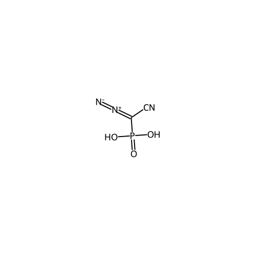 N#CC(=[N+]=[N-])P(=O)(O)O